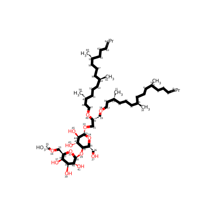 CC(C)CCC[C@@H](C)CCC[C@@H](C)CCC[C@@H](C)CCOC[C@H](CO[C@@H]1O[C@H](CO)[C@@H](O[C@@H]2O[C@H](COS(=O)(=O)O)[C@H](O)[C@H](O)[C@H]2O)[C@H](O)[C@H]1O)OCC[C@H](C)CCC[C@H](C)CCC[C@H](C)CCCC(C)C